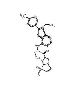 CC[C@H](Nc1ncnc2c1nc(-c1cnc(C)nc1)n2CC)C(=O)N1CC2CCS(=O)(=O)C2C1